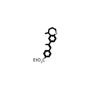 CCOC(=O)c1ccc(C=C(C)c2ccc3c(c2)C(C)CCCS3)cc1